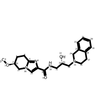 CO[C@H]1CCc2nc(C(=O)NC[C@H](O)CN3CCc4ccccc4C3)cn2C1